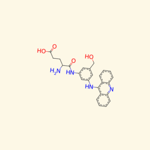 NC(CCC(=O)O)C(=O)Nc1cc(CO)cc(Nc2c3ccccc3nc3ccccc23)c1